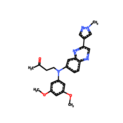 COc1cc(OC)cc(N(CCC(C)=O)c2ccc3ncc(-c4cnn(C)c4)nc3c2)c1